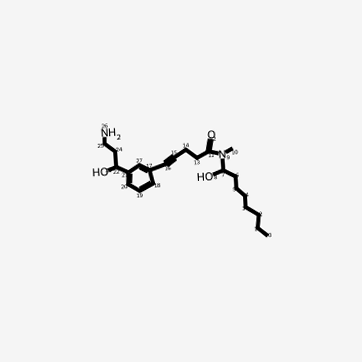 CCCCCCCC(O)N(C)C(=O)CCC#Cc1cccc(C(O)CCN)c1